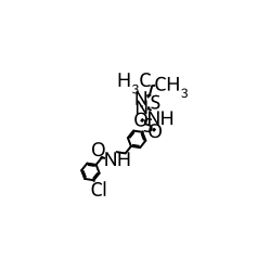 CC(C)c1nnc(NS(=O)(=O)c2ccc(CCNC(=O)c3cccc(Cl)c3)cc2)s1